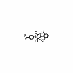 O=c1nc(-c2c(Cl)cccc2Cl)oc(=O)n1-c1ccc(C(F)F)cc1